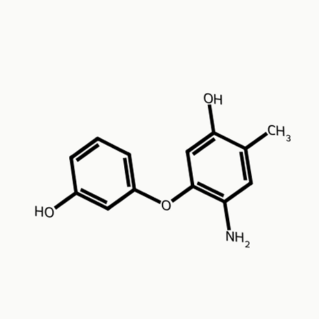 Cc1cc(N)c(Oc2cccc(O)c2)cc1O